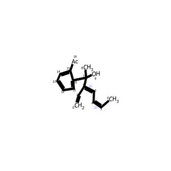 C=C/C(=C\C=C/C)C(C)(O)c1ccccc1C(C)=O